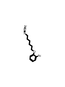 CC(=O)c1ccccc1OCCCCCCN=[N+]=[N-]